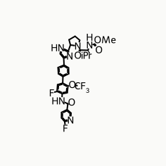 COC(=O)N[C@H](C(=O)N1CCCC1c1nc(-c2ccc(-c3cc(F)c(NC(=O)c4ccc(F)nc4)cc3OC(F)(F)F)cc2)c[nH]1)C(C)C